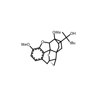 COc1ccc2c3c1OC1C4(OC)CCC5(CC4C(C)(O)C(C)(C)C)C4C[C@]4(C2)CC315